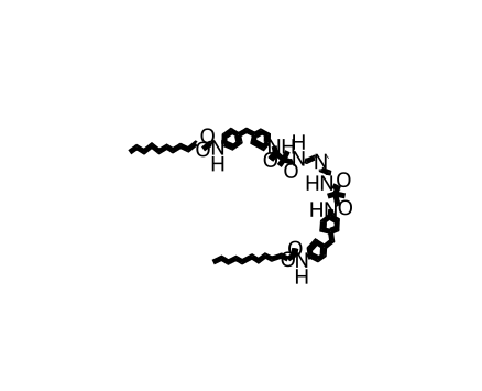 CCCCCCCCCCOC(=O)Nc1ccc(Cc2ccc(NC(=O)C(C)(C)C(=O)NCCN(C)CCNC(=O)C(C)(C)C(=O)Nc3ccc(Cc4ccc(NC(=O)OCCCCCCCCCC)cc4)cc3)cc2)cc1